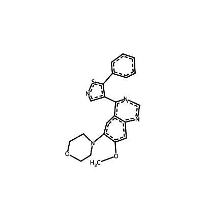 COc1cc2ncnc(-c3cnsc3-c3ccccc3)c2cc1N1CCOCC1